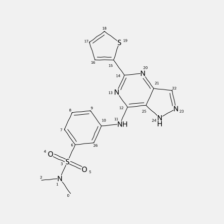 CN(C)S(=O)(=O)c1cccc(Nc2nc(-c3cccs3)nc3cn[nH]c23)c1